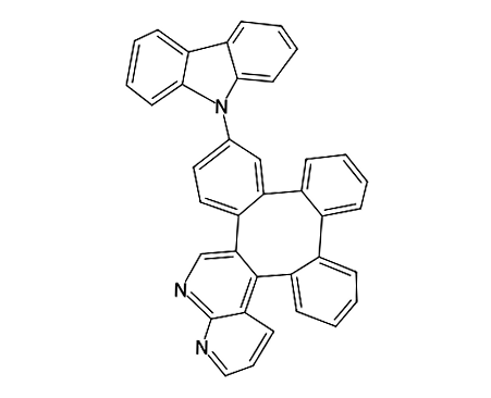 c1ccc2c(c1)-c1cc(-n3c4ccccc4c4ccccc43)ccc1-c1cnc3ncccc3c1-c1ccccc1-2